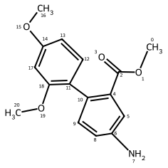 COC(=O)c1cc(N)ccc1-c1ccc(OC)cc1OC